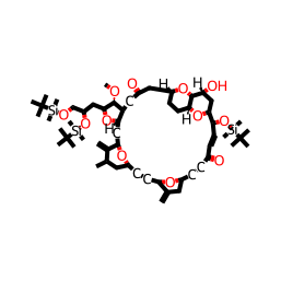 C=C1CC2CCC(=O)/C=C/C(O[Si](C)(C)C(C)(C)C)C3C[C@@H](O)C4O[C@H](CC[C@@H]4O3)CC(=O)CC3[C@@H](OC)C(CC(CO[Si](C)(C)C(C)(C)C)O[Si](C)(C)C(C)(C)C)O[C@H]3CC3OC(CCC1O2)CC(C)C3=C